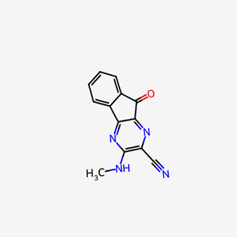 CNc1nc2c(nc1C#N)C(=O)c1ccccc1-2